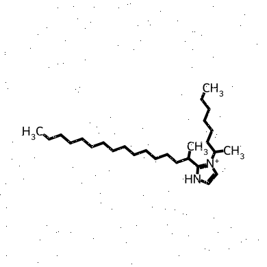 CCCCCCCCCCCCCCC(C)c1[nH]cc[n+]1C(C)CCCCCC